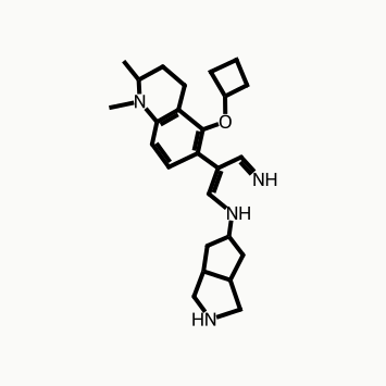 CC1CCc2c(ccc(/C(C=N)=C/NC3CC4CNCC4C3)c2OC2CCC2)N1C